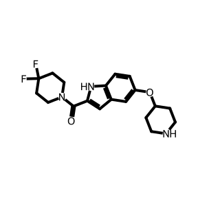 O=C(c1cc2cc(OC3CCNCC3)ccc2[nH]1)N1CCC(F)(F)CC1